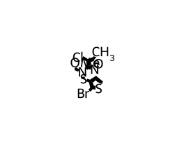 COCN(Sc1ccsc1Br)c1noc(C)c1Cl